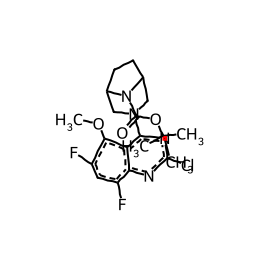 COc1c(F)cc(F)c2nc(Cl)nc(N3CC4CCC(C3)N4C(=O)OC(C)(C)C)c12